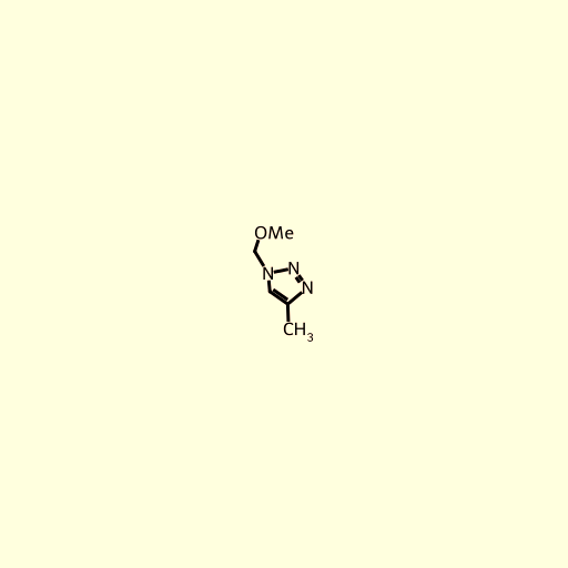 COCn1cc(C)nn1